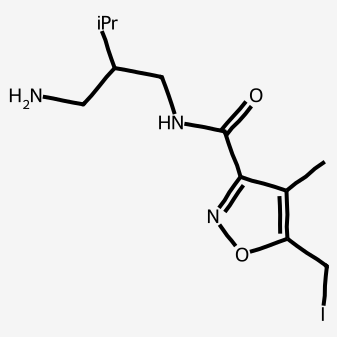 Cc1c(C(=O)NCC(CN)C(C)C)noc1CI